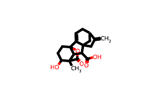 C=C1CC23CC1CC=C2C12CCC(O)C(C)(C(=O)O1)C2C3C(=O)O